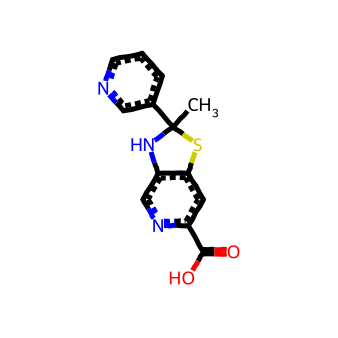 CC1(c2cccnc2)Nc2cnc(C(=O)O)cc2S1